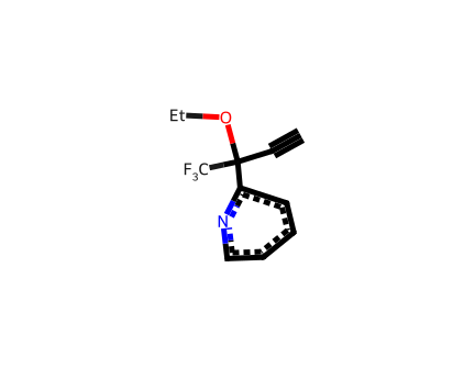 C#CC(OCC)(c1ccccn1)C(F)(F)F